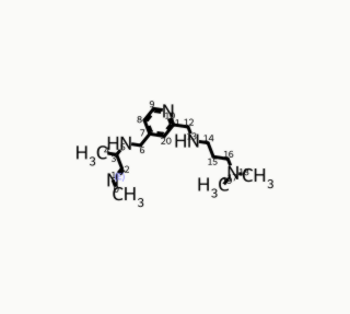 C/N=C/C(C)NCc1ccnc(CNCCCN(C)C)c1